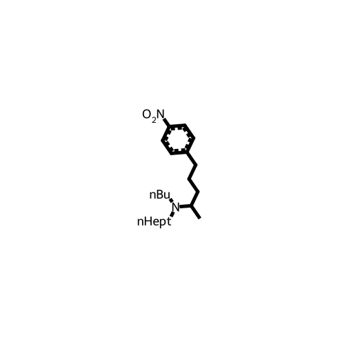 CCCCCCCN(CCCC)C(C)CCCc1ccc([N+](=O)[O-])cc1